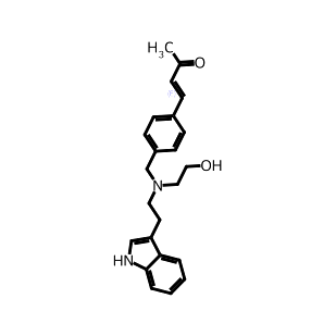 CC(=O)/C=C/c1ccc(CN(CCO)CCc2c[nH]c3ccccc23)cc1